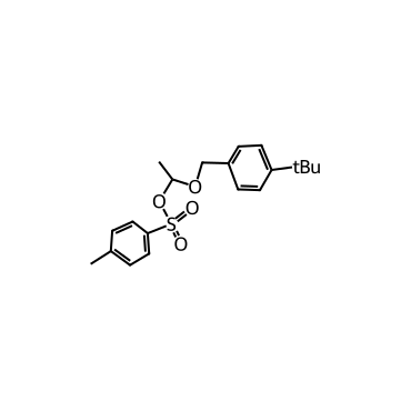 Cc1ccc(S(=O)(=O)OC(C)OCc2ccc(C(C)(C)C)cc2)cc1